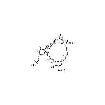 COc1cc2cc(c1Cl)N(C)C(=O)C[C@@H]1OC([C@H](C)N(C)C(=O)CCC(C)(C)S)=C[C@]13O[C@H]3C(C)(C)[C@@H]1C[C@@](O)(NC(=O)O1)[C@H](OC)/C=C/C=C(\C)C2